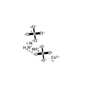 O=S(=O)([O-])[O-].O=S(=O)([O-])[O-].[Co+2].[NH4+].[NH4+].[N]